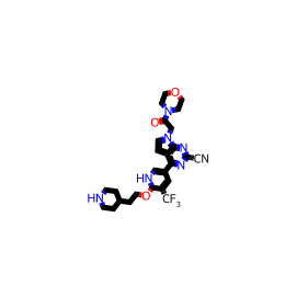 N#Cc1nc(C2=CNC(OCCC3CCNCC3)C(C(F)(F)F)=C2)c2ccn(CC(=O)N3CCOCC3)c2n1